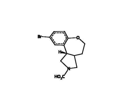 O=C(O)N1CC2CCOc3ccc(Br)cc3[C@H]2C1